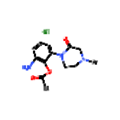 CCC(=O)Oc1c(N)cccc1N1CCN(C(C)C)CC1=O.Cl